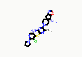 Cc1nc(Sc2ccnc(N3CCCC3)c2Cl)c(N)nc1N1CCC2(CC1)Cc1ncoc1[C@H]2N